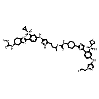 CC(C)OC(=O)NC1CCc2nc(-c3ccc(Nc4cc(CCC(C)OC(=O)NC5CCC(c6ncc(-c7ccc(Nc8cnn(CCF)c8)cc7S(=N)(=O)C7COC7)s6)CC5)[nH]n4)cc3S(=O)(=O)C3CC3)sc2C1